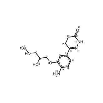 CC(C)(C)NCC(O)COc1cc(C2=NNC(=O)CC2)ccc1N